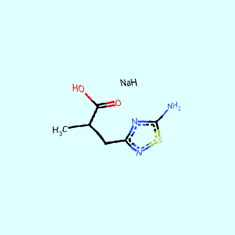 CC(Cc1nsc(N)n1)C(=O)O.[NaH]